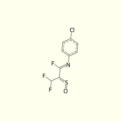 O=S=C(C(F)=Nc1ccc(Cl)cc1)C(F)F